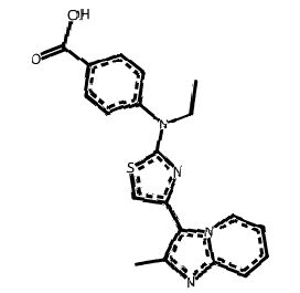 CCN(c1ccc(C(=O)O)cc1)c1nc(-c2c(C)nc3ccccn23)cs1